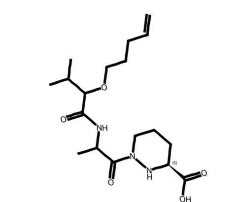 C=CCCCOC(C(=O)NC(C)C(=O)N1CCC[C@@H](C(=O)O)N1)C(C)C